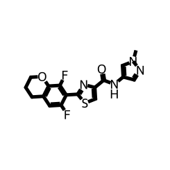 Cn1cc(NC(=O)c2csc(-c3c(F)cc4c(c3F)OCCC4)n2)cn1